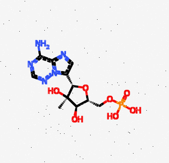 C[C@@]1(O)[C@H](O)[C@@H](COP(=O)(O)O)O[C@H]1c1cnc2c(N)ncnn12